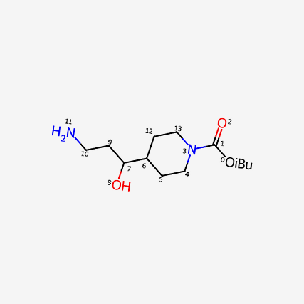 CC(C)COC(=O)N1CCC(C(O)CCN)CC1